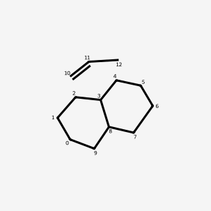 C1CCC2CCCCC2C1.C=CC